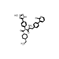 Cl.NC[C@H]1CC[C@H](C(=O)N(C(=O)[C@@H](N)Cc2ccc(-c3cccnc3Cl)cc2)c2ccc(-c3nnn[nH]3)cc2)CC1